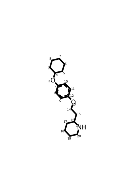 c1cc(OC2CCCCC2)ccc1OCCC1CCCCN1